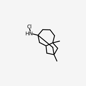 CC12CC3CC(NCl)(CCCC3(C)C1)C2